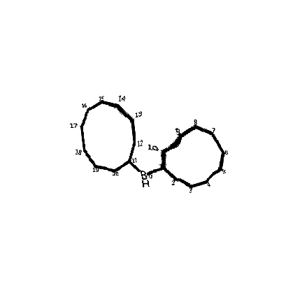 B(C1CCCCCCCCC1)C1CCCCCCCCC1